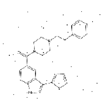 O=C(c1ccc2[nH]cc(-c3cccs3)c2c1)N1CCN(CCc2ccccc2)CC1